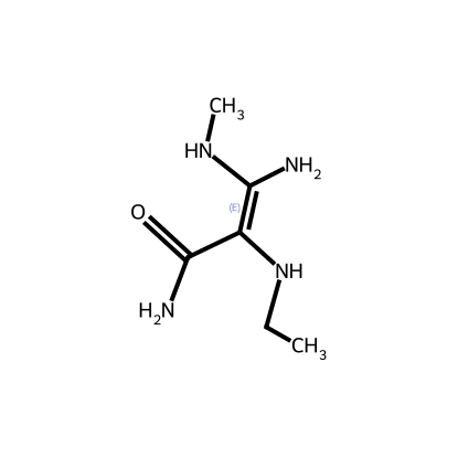 CCN/C(C(N)=O)=C(\N)NC